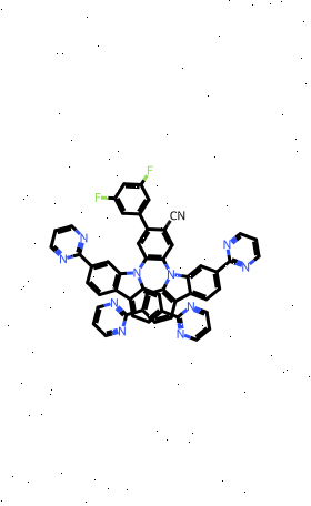 N#Cc1cc(-n2c3cc(-c4ncccn4)ccc3c3ccc(-c4ncccn4)cc32)c(-n2c3cc(-c4ncccn4)ccc3c3ccc(-c4ncccn4)cc32)cc1-c1cc(F)cc(F)c1